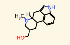 CN1C[C@H](CO)CC2c3cccc4[nH]cc(c34)C[C@H]21